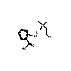 C[N+](C)(C)CCO.O=C(O)c1ccccc1O.[Li+]